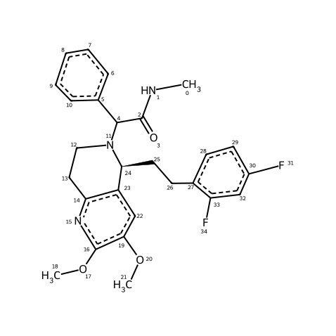 CNC(=O)C(c1ccccc1)N1CCc2nc(OC)c(OC)cc2[C@@H]1CCc1ccc(F)cc1F